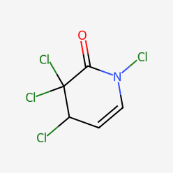 O=C1N(Cl)C=CC(Cl)C1(Cl)Cl